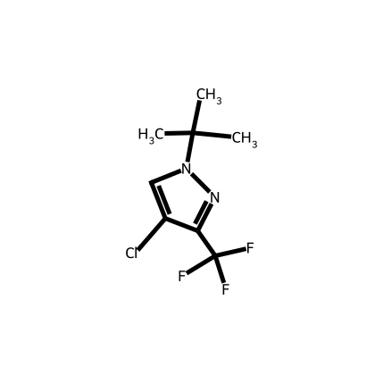 CC(C)(C)n1cc(Cl)c(C(F)(F)F)n1